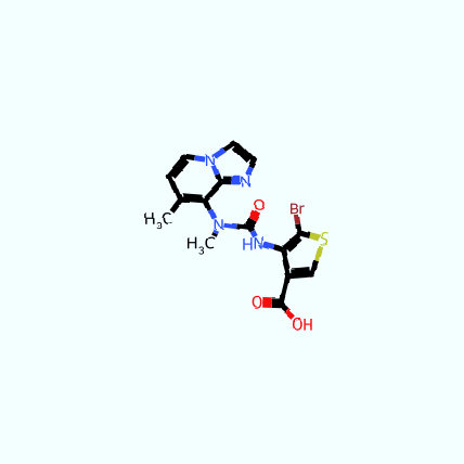 Cc1ccn2ccnc2c1N(C)C(=O)Nc1c(C(=O)O)csc1Br